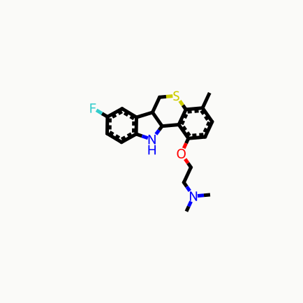 Cc1ccc(OCCN(C)C)c2c1SCC1c3cc(F)ccc3NC21